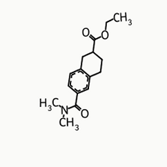 CCOC(=O)C1CCc2cc(C(=O)N(C)C)ccc2C1